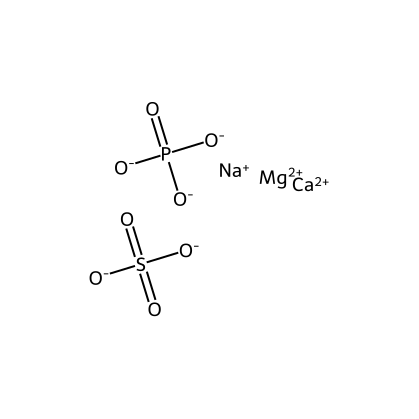 O=P([O-])([O-])[O-].O=S(=O)([O-])[O-].[Ca+2].[Mg+2].[Na+]